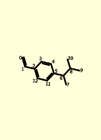 C=Cc1ccc(C(C)C(C)C)cc1